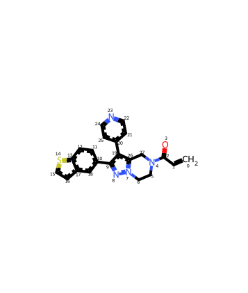 C=CC(=O)N1CCn2nc(-c3ccc4sccc4c3)c(-c3ccncc3)c2C1